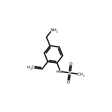 C=Cc1cc(CN)ccc1NS(C)(=O)=O